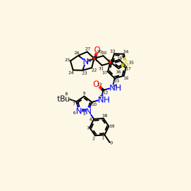 Cc1ccc(-n2nc(C(C)(C)C)cc2NC(=O)Nc2cccc(CC3CC4CCC(C3)N4C(=O)Cc3ccsc3)c2)cc1